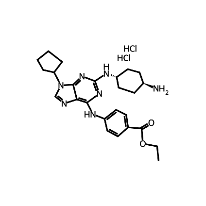 CCOC(=O)c1ccc(Nc2nc(N[C@H]3CC[C@H](N)CC3)nc3c2ncn3C2CCCC2)cc1.Cl.Cl